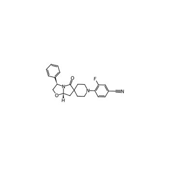 N#Cc1ccc(N2CCC3(CC2)C[C@@H]2OC[C@@H](c4ccccc4)N2C3=O)c(F)c1